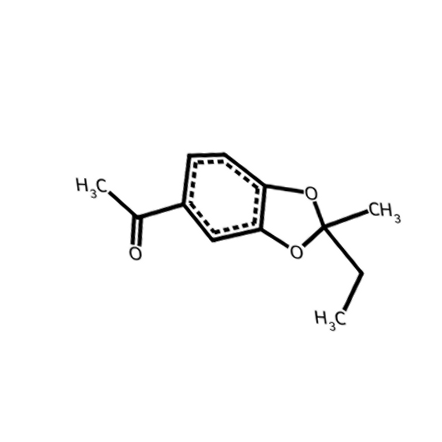 CCC1(C)Oc2ccc(C(C)=O)cc2O1